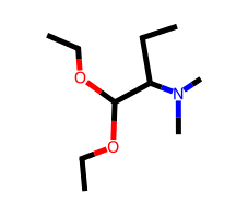 CCOC(OCC)C(CC)N(C)C